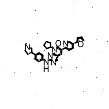 CN1CCC(c2ccc(Nc3ncc4cc(-c5ccc(-c6ccco6)cn5)c(=O)n(C5CCCC5)c4n3)cc2)C1